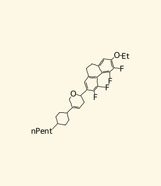 CCCCCC1CCC(C2=CCC(c3cc4c(c(F)c3F)-c3c(cc(OCC)c(F)c3F)CC4)OC2)CC1